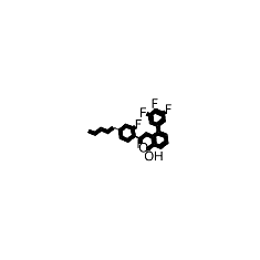 CCCCC[C@H]1CC[C@H](C(F)Cc2c(C(=O)O)cccc2-c2cc(F)c(F)c(F)c2)C(F)C1